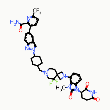 Cn1c(=O)n(C2CCC(=O)NC2=O)c2cccc(N3CC4(CCN(CC5CCC(n6cc7cc(-c8ccc(C(F)(F)F)nc8C(N)=O)ccc7n6)CC5)CC4(F)F)C3)c21